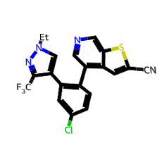 CCn1cc(-c2cc(Cl)ccc2-c2cncc3sc(C#N)cc23)c(C(F)(F)F)n1